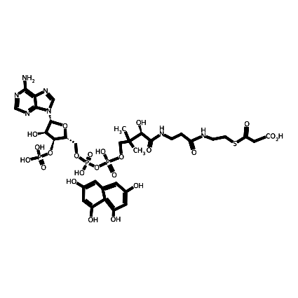 CC(C)(COP(=O)(O)OP(=O)(O)OC[C@H]1O[C@@H](n2cnc3c(N)ncnc32)[C@H](O)[C@@H]1OP(=O)(O)O)[C@@H](O)C(=O)NCCC(=O)NCCSC(=O)CC(=O)O.Oc1cc(O)c2c(O)cc(O)cc2c1